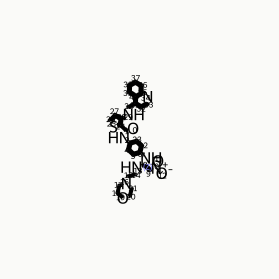 O=C(Nc1ccc(N/C(=C\[N+](=O)[O-])NCCN2CCOCC2)cc1)c1sccc1NCc1ccnc2ccccc12